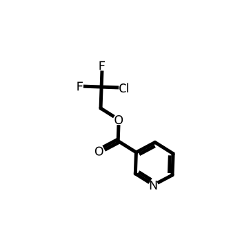 O=C(OCC(F)(F)Cl)c1cccnc1